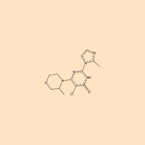 Cc1nccn1-c1nc(N2CCOCC2C)c(Cl)c(=O)[nH]1